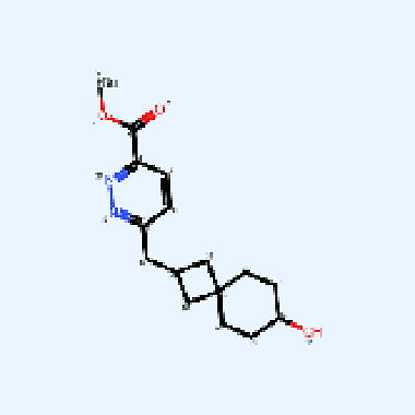 CC(C)(C)OC(=O)c1ccc(CC2CC3(CCC(O)CC3)C2)nn1